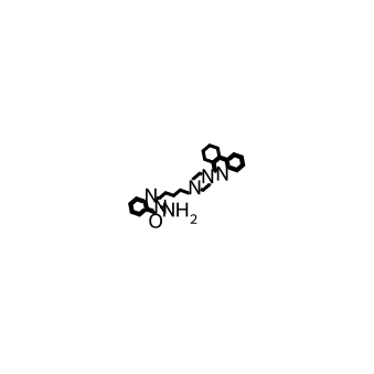 Nn1c(CCCCN2CCN(c3nc4ccccc4c4c3CCCC4)CC2)nc2ccccc2c1=O